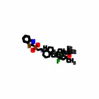 CC[Si](CC)(CC)OC(C)(C)CC(F)(F)CC(C)[C@H]1CC[C@H]2/C(=C/CS(=O)(=O)c3nc4ccccc4s3)CCC[C@]12C